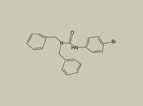 O=C(Nc1ccc(Br)cc1)N(Cc1ccccc1)Cc1ccccc1